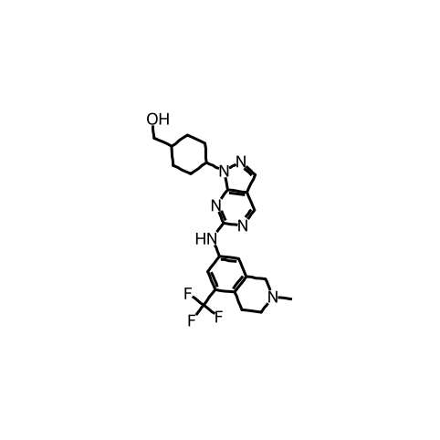 CN1CCc2c(cc(Nc3ncc4cnn(C5CCC(CO)CC5)c4n3)cc2C(F)(F)F)C1